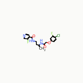 C=C(CCNC(=O)c1ccncc1F)NC(=O)COc1ccc(Cl)c(F)c1